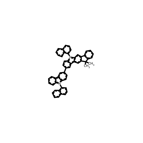 CC1(C)c2ccccc2-c2cc3c(cc21)c1cc(-c2ccc4c(c2)c2ccccc2n4-c2cccc4ccccc24)ccc1n3-c1cccc2ccccc12